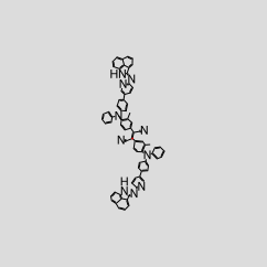 Cc1cc(/C(C#N)=C(\C#N)c2ccc(N(c3ccccc3)c3ccc(-c4ccc(/N=C5\Nc6cccc7cccc5c67)nc4)cc3)c(C)c2)ccc1N(c1ccccc1)c1ccc(-c2ccc(/N=C3\Nc4cccc5cccc3c45)nc2)cc1